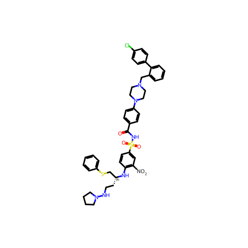 O=C(NS(=O)(=O)c1ccc(N[C@H](CCNN2CCCC2)CSc2ccccc2)c([N+](=O)[O-])c1)c1ccc(N2CCN(Cc3ccccc3-c3ccc(Cl)cc3)CC2)cc1